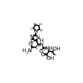 CC(O)C(NC(=O)N[C@@H](CC(N)=O)c1nc(N2CCCC2)no1)C(=O)O